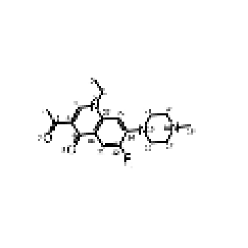 CCn1cc(C(C)=O)c(=O)c2cc(F)c(N3CCN(C)CC3)cc21